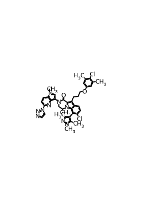 Cc1cc(OCCCc2c3n(c4c(-c5c(C)nn(C)c5C)c(Cl)ccc24)C(C)CN(c2cn(C)c4ccc(-n5ccnn5)nc24)C3=O)cc(C)c1Cl